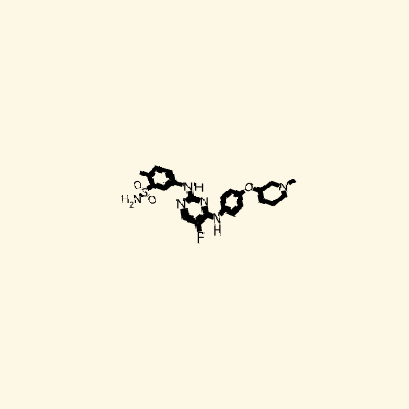 Cc1ccc(Nc2ncc(F)c(Nc3ccc(OC4CCCN(C)C4)cc3)n2)cc1S(N)(=O)=O